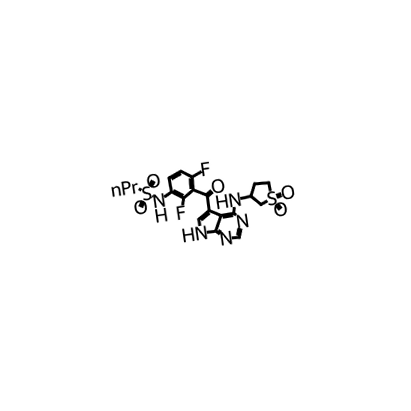 CCCS(=O)(=O)Nc1ccc(F)c(C(=O)c2c[nH]c3ncnc(NC4CCS(=O)(=O)C4)c23)c1F